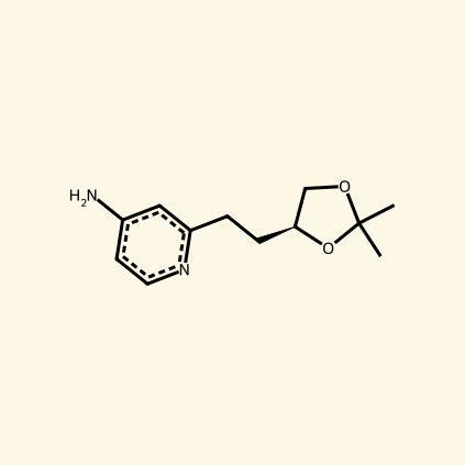 CC1(C)OC[C@H](CCc2cc(N)ccn2)O1